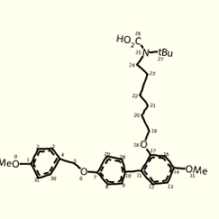 COc1ccc(COc2ccc(-c3ccc(OC)cc3OCCCCCCN(C(=O)O)C(C)(C)C)cc2)cc1